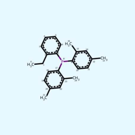 CCc1ccccc1P(c1ccc(C)cc1C)c1ccc(C)cc1C